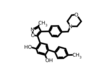 Cc1ccc(-c2cc(-c3onc(C)c3-c3ccc(CN4CCOCC4)cc3)c(O)cc2O)cc1